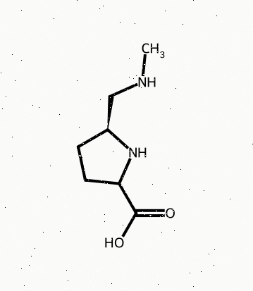 CNC[C@@H]1CCC(C(=O)O)N1